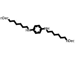 CCCCCCCCCCCCCCCCNc1ccc(NCCCCCCCCCCCCCCCC)cc1